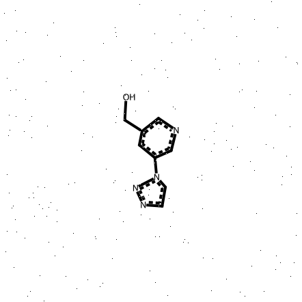 OCc1cncc(-n2ccnn2)c1